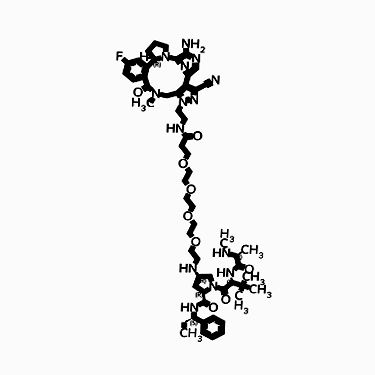 CC[C@H](NC(=O)[C@H]1C[C@@H](NCCOCCOCCOCCOCCC(=O)NCCn2nc(C#N)c3c2CN(C)C(=O)c2ccc(F)cc2[C@H]2CCCN2c2nc-3cnc2N)CN1C(=O)[C@H](NC(=O)[C@@H](C)NC)C(C)(C)C)c1ccccc1